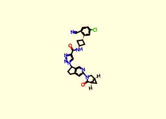 N#Cc1ccc(Cl)cc1[C@H]1C[C@@H](NC(=O)c2cn(C3CCc4cc(N5C[C@H]6C[C@H]6C5=O)ncc43)nn2)C1